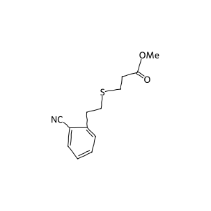 COC(=O)CCSCCc1ccccc1C#N